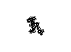 CCN(Cc1ccc(OC)c(OC)c1)C(=O)[C@@H]1C[C@H](C(=O)NCC2(CCCCOC)c3ccccc3Oc3ccccc32)CN(C(=O)OC(C)(C)C)C1